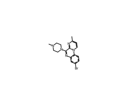 CC1=C=CN2C(=N1)C(N1CCN(C)CC1)=Nc1cc(Br)ccc12